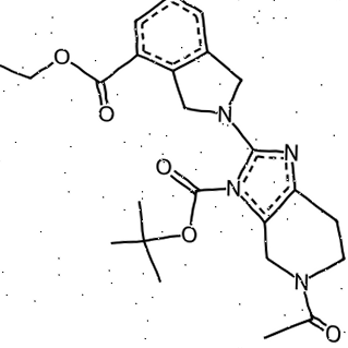 CCOC(=O)c1cccc2c1CN(c1nc3c(n1C(=O)OC(C)(C)C)CN(C(C)=O)CC3)C2